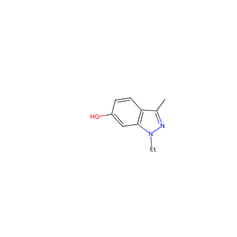 CCn1nc(C)c2ccc(O)cc21